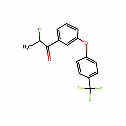 CC(Cl)C(=O)c1cccc(Oc2ccc(C(F)(F)F)cc2)c1